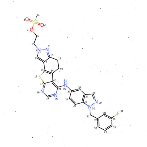 CS(=O)(=O)OCCn1cc2c(n1)CCc1c-2sc2ncnc(Nc3ccc4c(cnn4Cc4cccc(F)c4)c3)c12